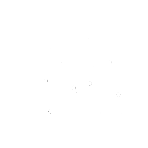 O=C(OC1CCO1)c1ccccc1C(=O)OC1CCO1